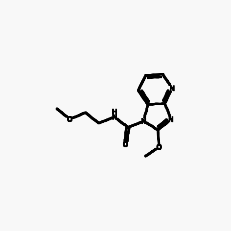 COCCNC(=O)n1c(OC)nc2ncccc21